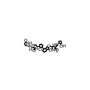 COc1nc(O[C@H]2CCc3c(-c4cccc(-c5cnc(CNC[C@@H]6CCC(=O)N6)c(OC)n5)c4Cl)cccc32)c(Cl)cc1CN[C@@H]1CCC[C@@H]1O